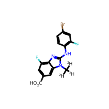 [2H]C([2H])([2H])n1c(Nc2ccc(Br)cc2F)nc2c(F)cc(C(=O)O)cc21